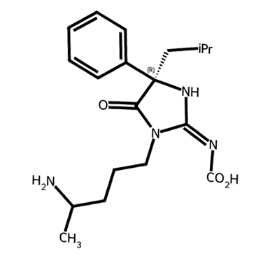 CC(C)C[C@]1(c2ccccc2)NC(=NC(=O)O)N(CCCC(C)N)C1=O